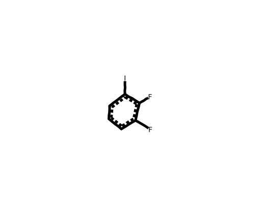 Fc1cccc(I)c1F